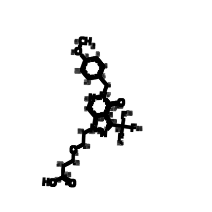 COc1ccc(Cn2ncc3c(c(C(F)(F)F)nn3CCOCCC(=O)O)c2=O)cc1